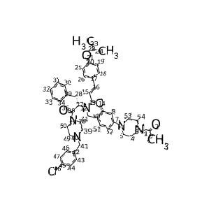 CC(=O)N1CCN(c2ccc(CN(C(=O)C=Cc3ccc(OC(C)C)cc3)[C@@H](Cc3ccccc3)C(=O)N3CCN(Cc4ccc(Cl)cc4)CC3)cc2)CC1